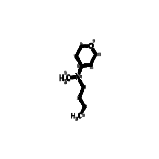 CCCCN(C)C1CCOCC1